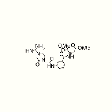 COC(=O)C[C@H](NC(=O)c1cccc(NC(=O)CN2CCN(C(=N)N)CC2=O)c1)C(=O)OC